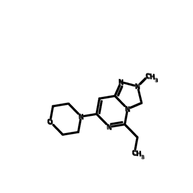 CCC1=NC(N2CCOCC2)=CC2=NN(C)CN21